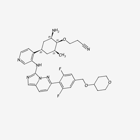 C[C@H]1C[C@@H](c2ccncc2Nc2ncc3ccc(-c4c(F)cc(COC5CCOCC5)cc4F)nn23)C[C@@H](N)[C@H]1OCCC#N